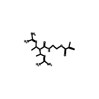 C=C(C)C(=O)OCCNC(=O)N(C(C)N=C(N)N)C(C)N=C(N)N